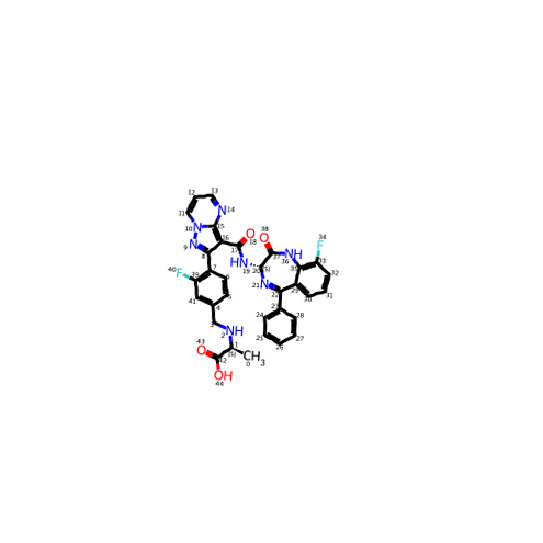 C[C@H](NCc1ccc(-c2nn3cccnc3c2C(=O)N[C@H]2N=C(c3ccccc3)c3cccc(F)c3NC2=O)c(F)c1)C(=O)O